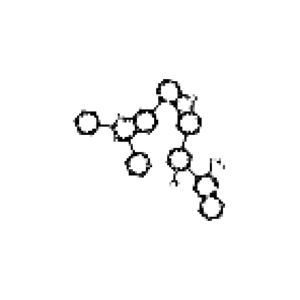 Cc1ccc(-c2ccc3oc4cccc(-c5ccc6c(-c7ccccc7)nc(-c7ccccc7)nc6c5)c4c3c2)cc1-c1cc2ccccc2cc1C